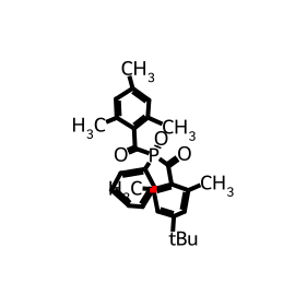 Cc1cc(C)c(C(=O)P(=O)(C(=O)c2c(C)cc(C(C)(C)C)cc2C)c2ccccc2)c(C)c1